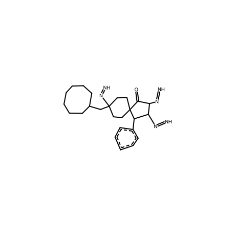 N=NC1C(=O)C2(CCC(CC3CCCCCCC3)(N=N)CC2)C(c2ccccc2)C1N=N